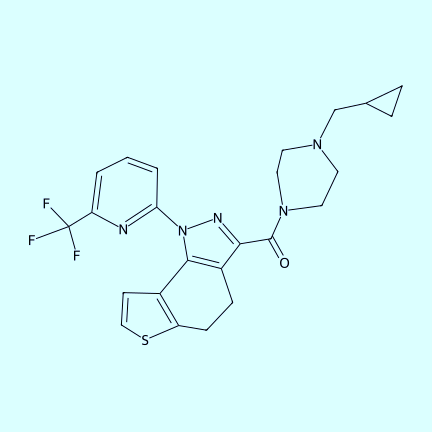 O=C(c1nn(-c2cccc(C(F)(F)F)n2)c2c1CCc1sccc1-2)N1CCN(CC2CC2)CC1